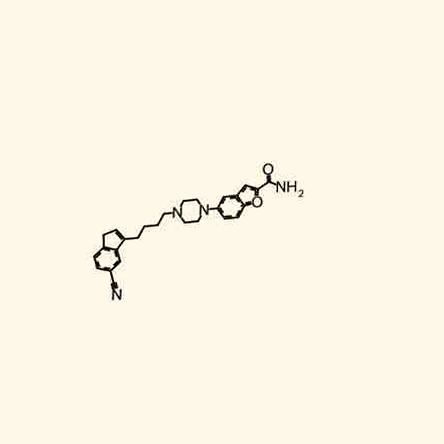 N#Cc1ccc2c(c1)C(CCCCN1CCN(c3ccc4oc(C(N)=O)cc4c3)CC1)=CC2